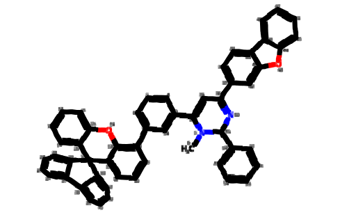 CN1C(c2cccc(-c3cccc4c3Oc3ccccc3C43c4ccccc4-c4ccccc43)c2)=CC(c2ccc3c(c2)oc2ccccc23)=NC1c1ccccc1